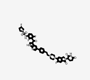 O=C1CCC(N2Cc3cc(N4CCN(CCc5ccc(-c6cnc7[nH]cc(C(=O)c8c(F)ccc(NS(=O)(=O)N9CC[C@@H](F)C9)c8F)c7c6)cc5)CC4)c(F)cc3C2=O)C(=O)N1